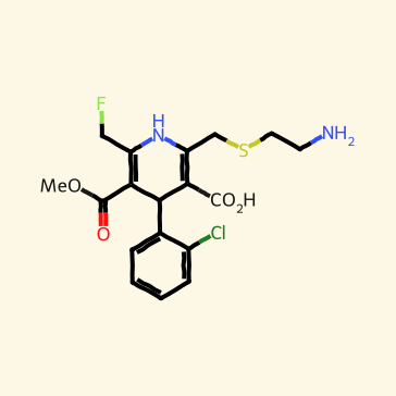 COC(=O)C1=C(CF)NC(CSCCN)=C(C(=O)O)C1c1ccccc1Cl